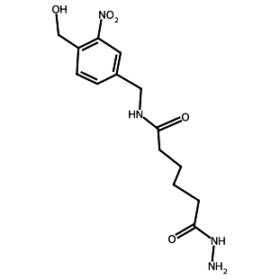 NNC(=O)CCCCC(=O)NCc1ccc(CO)c([N+](=O)[O-])c1